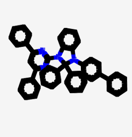 c1ccc(-c2ccc(N3c4ccccc4N(c4nc(-c5ccccc5)cc(-c5ccccc5)n4)C3(c3ccccc3)c3ccccc3)cc2)cc1